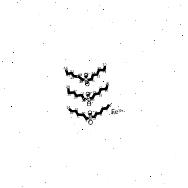 CCCCCCP(=O)([O-])CCCCCC.CCCCCCP(=O)([O-])CCCCCC.CCCCCCP(=O)([O-])CCCCCC.[Fe+3]